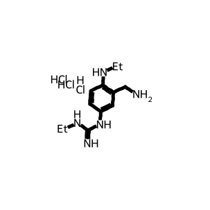 CCNC(=N)Nc1ccc(NCC)c(CN)c1.Cl.Cl.Cl